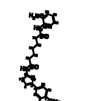 COc1ccc(-c2csc(NC(=O)CCCCCC(=O)Nc3ncccc3N)n2)cc1